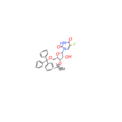 CC(C)(C)[Si](C)(C)O[C@H]1[C@@H](O)[C@H](n2cc(F)c(=O)[nH]c2=O)O[C@@H]1COC(c1ccccc1)(c1ccccc1)c1ccccc1